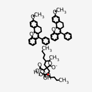 CCCCC(CC)CC(CC(CC)CCCC)(C(=O)[O-])C(C(=O)[O-])S(=O)(=O)O.COc1ccc2c(c1)CCc1c-2[o+]c2ccccc2c1-c1ccccc1.COc1ccc2c(c1)CCc1c-2[o+]c2ccccc2c1-c1ccccc1